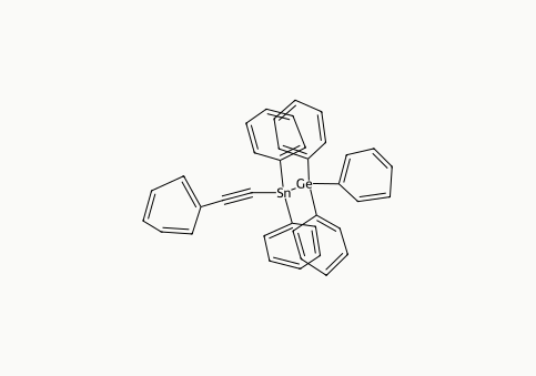 C(#[C][Sn]([c]1ccccc1)([c]1ccccc1)[Ge]([c]1ccccc1)([c]1ccccc1)[c]1ccccc1)c1ccccc1